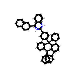 c1ccc(C2(c3ccc(-c4nc(-c5ccc6ccccc6c5)c5ccccc5n4)cc3)c3ccccc3C3(c4ccccc4)c4ccccc4-c4cccc2c43)cc1